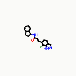 O=C(/C=C/c1ccc2cn[nH]c2c1F)NC1CCc2ccccc21